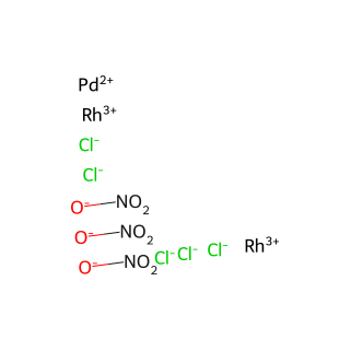 O=[N+]([O-])[O-].O=[N+]([O-])[O-].O=[N+]([O-])[O-].[Cl-].[Cl-].[Cl-].[Cl-].[Cl-].[Pd+2].[Rh+3].[Rh+3]